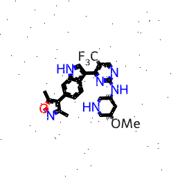 CO[C@H]1CNC[C@@H](Nc2ncc(C(F)(F)F)c(-c3c[nH]c4cc(-c5c(C)noc5C)ccc34)n2)C1